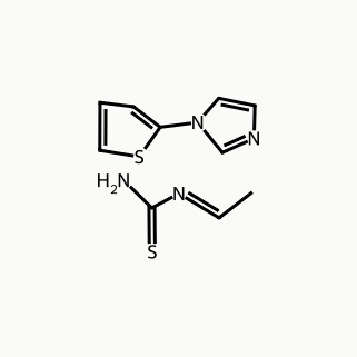 CC=NC(N)=S.c1csc(-n2ccnc2)c1